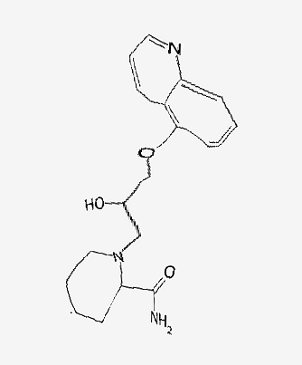 NC(=O)C1C[CH]CCN1CC(O)COc1cccc2ncccc12